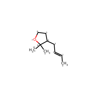 CC=CCC1CCOC1(C)C